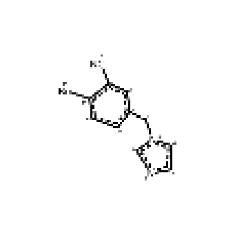 N#Cc1cc(Cn2ccnc2)ccc1Br